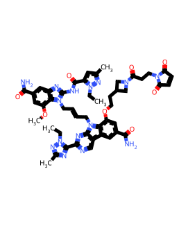 CCn1nc(C)cc1C(=O)Nc1nc2cc(C(N)=O)cc(OC)c2n1C/C=C/Cn1c2nc(-c3nc(C)nn3CC)ncc2c2cc(C(N)=O)cc(OCCC3CN(C(=O)CCN4C(=O)C=CC4=O)C3)c21